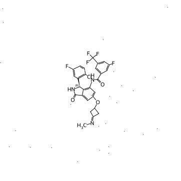 CN=C1CC(Oc2cc(NC(=O)c3cc(F)cc(C(F)(F)F)c3)c3c(c2)C(=O)N[C@H]3c2cc(F)ccc2Cl)C1